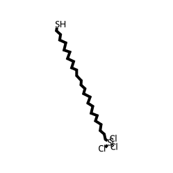 SCCCCCCCCCCCCCCCCCCCCCCCCC[Si](Cl)(Cl)Cl